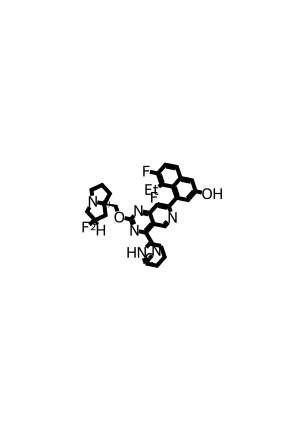 [2H][C@@]1(F)CN2CCC[C@]2(COc2nc(N3CC4CCC3CN4)c3cnc(-c4cc(O)cc5ccc(F)c(CC)c45)c(F)c3n2)C1